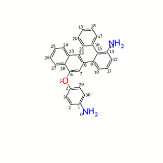 Nc1ccc(Oc2cc(-c3cccc(N)c3-c3ccccc3)cc3ccccc23)cc1